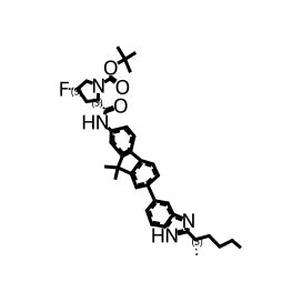 CCCC[C@H](C)c1nc2cc(-c3ccc4c(c3)C(C)(C)c3cc(NC(=O)[C@@H]5C[C@H](F)CN5C(=O)OC(C)(C)C)ccc3-4)ccc2[nH]1